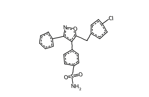 NS(=O)(=O)c1ccc(-c2c(-c3ccccc3)noc2Cc2ccc(Cl)cc2)cc1